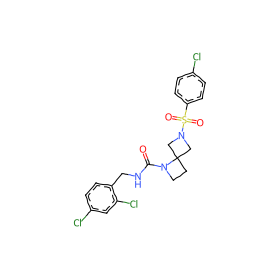 O=C(NCc1ccc(Cl)cc1Cl)N1CCC12CN(S(=O)(=O)c1ccc(Cl)cc1)C2